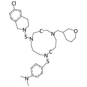 CN(C)c1ccc(SN2CCCN(CC3CCCOC3)CCCN(SN3CCc4cc(Cl)ccc4C3)CCC2)cc1